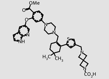 COC(=O)c1ccc(N2CCN(CC3=C(c4cc(CN5CC6(C5)CN(C(=O)O)C6)cs4)CC(C)(C)CC3)CC2)cc1Oc1cnc2[nH]ccc2c1